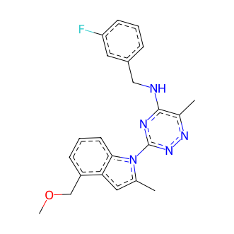 COCc1cccc2c1cc(C)n2-c1nnc(C)c(NCc2cccc(F)c2)n1